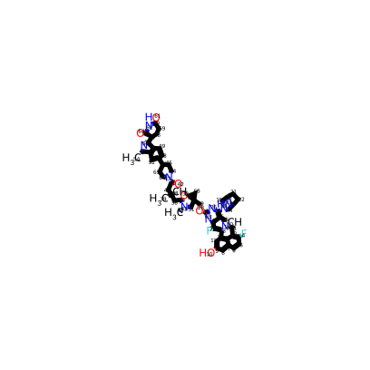 C#Cc1c(F)ccc2cc(O)cc(-c3ncc4c(N5CC6CCC(C5)N6)nc(OCC5(CN(C)C(=O)CC(C)(C)CC(=O)N6CCC(c7ccc8c(c7)C(C)N=C8C7CCC(=O)NC7=O)CC6)CC5)nc4c3F)c12